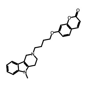 Cn1c2c(c3ccccc31)CN(CCCCOc1ccc3ccc(=O)oc3c1)CC2